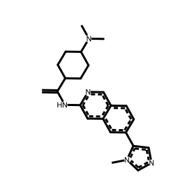 C=C(Nc1cc2cc(-c3cncn3C)ccc2cn1)C1CCC(N(C)C)CC1